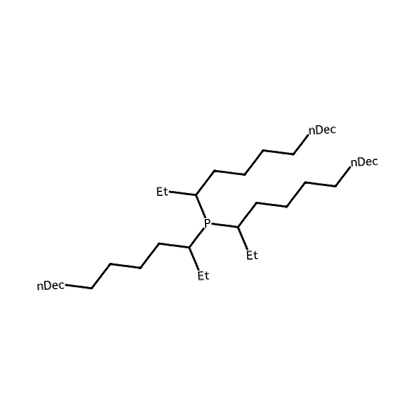 CCCCCCCCCCCCCCC(CC)P(C(CC)CCCCCCCCCCCCCC)C(CC)CCCCCCCCCCCCCC